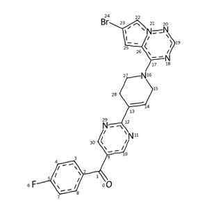 O=C(c1ccc(F)cc1)c1cnc(C2=CCN(c3ncnn4cc(Br)cc34)CC2)nc1